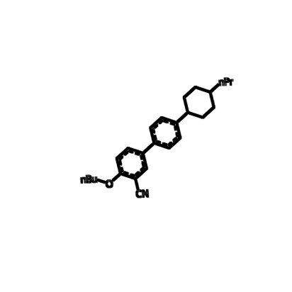 CCCCOc1ccc(-c2ccc(C3CCC(CCC)CC3)cc2)cc1C#N